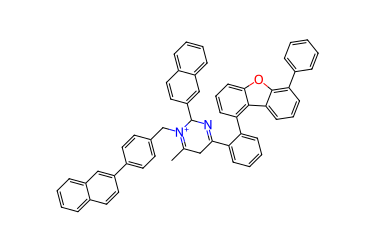 CC1=[N+](Cc2ccc(-c3ccc4ccccc4c3)cc2)C(c2ccc3ccccc3c2)N=C(c2ccccc2-c2cccc3oc4c(-c5ccccc5)cccc4c23)C1